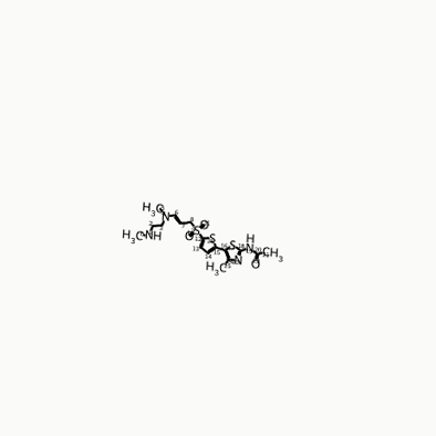 CNCCN(C)C=CCS(=O)(=O)c1ccc(-c2sc(NC(C)=O)nc2C)s1